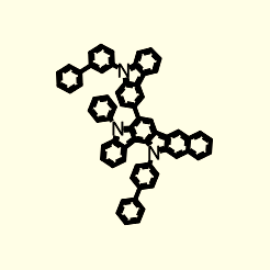 c1ccc(-c2ccc(-n3c4cc5ccccc5cc4c4cc(-c5ccc6c(c5)c5ccccc5n6-c5cccc(-c6ccccc6)c5)c5c(c6ccccc6n5-c5ccccc5)c43)cc2)cc1